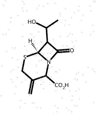 C=C1CS[C@H]2C(C(C)O)C(=O)N2C1C(=O)O